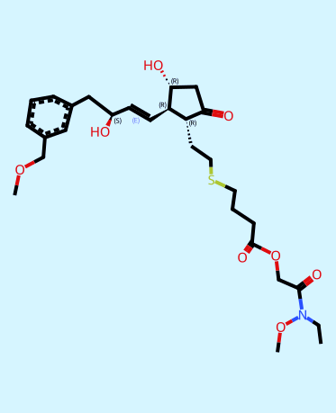 CCN(OC)C(=O)COC(=O)CCCSCC[C@H]1C(=O)C[C@@H](O)[C@@H]1/C=C/[C@@H](O)Cc1cccc(COC)c1